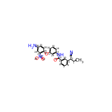 CCC(C#N)c1cccc(C(=O)Nc2cccc(Oc3ccc(N)cc3[N+](=O)[O-])c2)c1